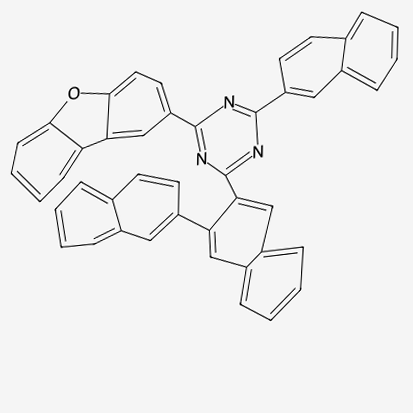 c1ccc2cc(-c3nc(-c4ccc5oc6ccccc6c5c4)nc(-c4cc5ccccc5cc4-c4ccc5ccccc5c4)n3)ccc2c1